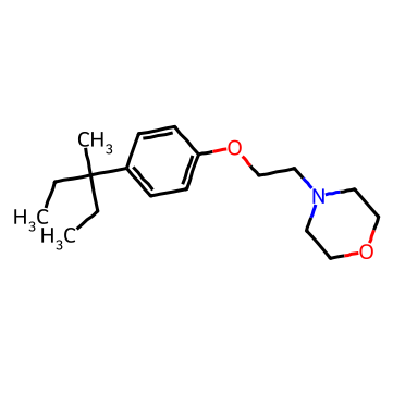 CCC(C)(CC)c1ccc(OCCN2CCOCC2)cc1